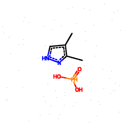 Cc1c[nH]nc1C.O=[PH](O)O